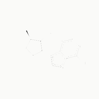 CC[C@H]1C[C@@H](c2c[nH]c3c(Cl)ncnc23)C(OC(C)=O)[C@@H]1C